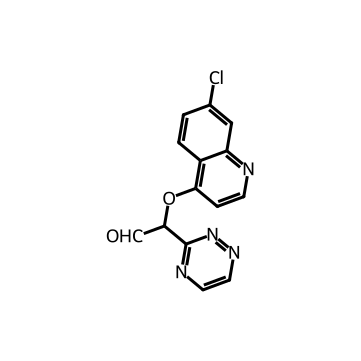 O=CC(Oc1ccnc2cc(Cl)ccc12)c1nccnn1